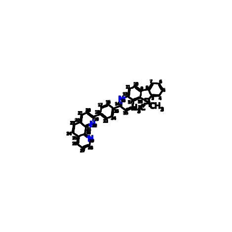 C[Si]1(C)c2ccccc2-c2ccc3nc(-c4ccc(-c5ccc6ccc7cccnc7c6n5)cc4)ccc3c21